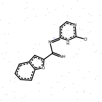 N=C(/N=c1/ccnc(Cl)[nH]1)c1cc2ccccc2o1